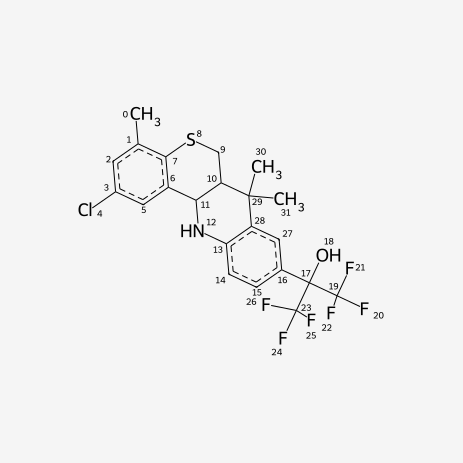 Cc1cc(Cl)cc2c1SCC1C2Nc2ccc(C(O)(C(F)(F)F)C(F)(F)F)cc2C1(C)C